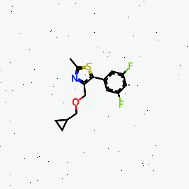 Cc1nc(COCC2CC2)c(-c2cc(F)[c]c(F)c2)s1